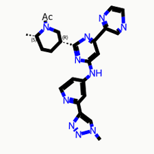 CC(=O)N1C[C@H](c2nc(Nc3ccnc(-c4cn(C)nn4)c3)cc(-c3cnccn3)n2)CC[C@@H]1C